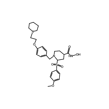 COc1ccc(S(=O)(=O)C2CC(C(=O)NO)CCN2Cc2ccc(OCCN3CCCCC3)cc2)cc1